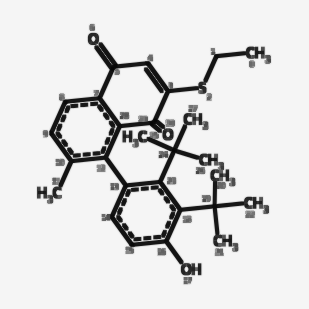 CCSC1=CC(=O)c2ccc(C)c(-c3ccc(O)c(C(C)(C)C)c3C(C)(C)C)c2C1=O